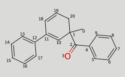 CC1(C(=O)c2ccccc2)C=C(c2ccccc2)C=CC1